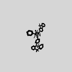 CC1(C)c2ccccc2-c2ccc(-c3nc(-c4ccccc4)nc(-c4ccc(N5c6ccccc6C(C)(C)c6ccccc65)cc4)n3)cc21